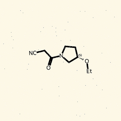 CCO[C@H]1CCN(C(=O)CC#N)C1